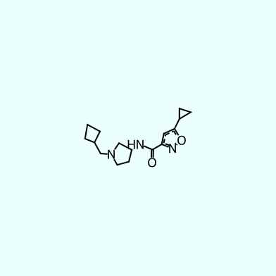 O=C(NC1CCN(CC2CCC2)C1)c1cc(C2CC2)on1